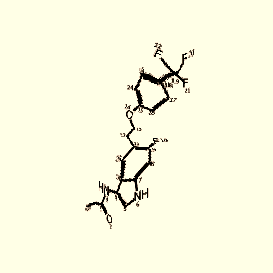 CC(=O)Nc1c[nH]c2cc(F)c(CCOc3ccc(C(F)(F)F)cc3)cc12